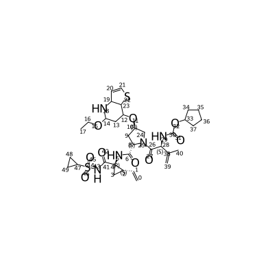 C=C[C@@H]1C[C@]1(NC(=O)[C@@H]1C[C@@H](OC2CC(OCC)NC3C=CSC32)CN1C(=O)[C@@H](NC(=O)OC1CCCC1)C(=C)C)C(=O)NS(=O)(=O)C1CC1